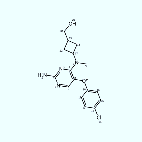 CN(c1nc(N)ncc1Oc1ccc(Cl)cc1)C1CC(CO)C1